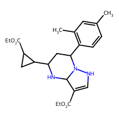 CCOC(=O)C1=CNN2C1NC(C1CC1C(=O)OCC)CC2c1ccc(C)cc1C